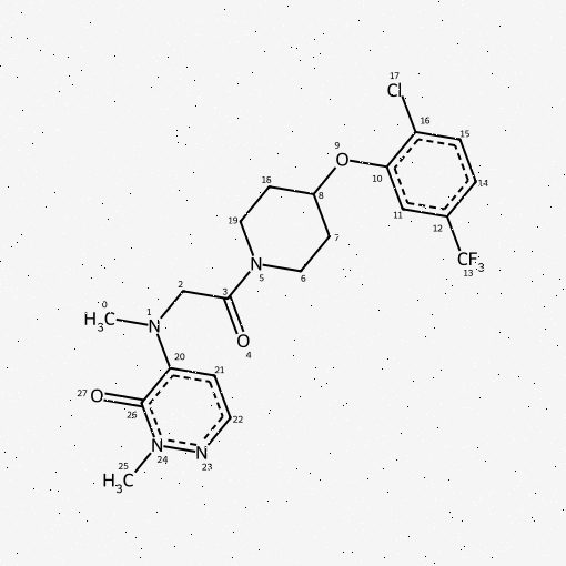 CN(CC(=O)N1CCC(Oc2cc(C(F)(F)F)ccc2Cl)CC1)c1ccnn(C)c1=O